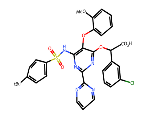 COc1ccccc1Oc1c(NS(=O)(=O)c2ccc(C(C)(C)C)cc2)nc(-c2ncccn2)nc1OC(C(=O)O)c1cccc(Cl)c1